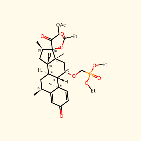 CCOP(=O)(CO[C@H]1C[C@@]2(C)[C@@H](C[C@@H](C)[C@]2(OC(=O)CC)C(=O)COC(C)=O)[C@@H]2C[C@H](C)C3=CC(=O)C=C[C@]3(C)[C@H]21)OCC